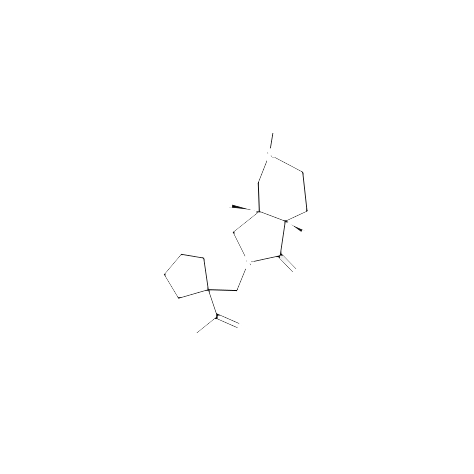 CN1CC[C@]2(F)C(=O)N(CC3(C(=O)O)CCCC3)C[C@@H]2C1